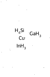 [Cu].[GaH3].[InH3].[SiH4]